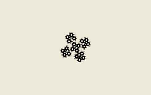 O=S12(c3ccc(N4c5ccccc5[Si](c5ccccc5)(c5ccccc5)c5ccccc54)cc3-c3cc(N4c5ccccc5[Si](c5ccccc5)(c5ccccc5)c5ccccc54)ccc31)c1ccc(N3c4ccccc4[Si](c4ccccc4)(c4ccccc4)c4ccccc43)cc1-c1cc(N3c4ccccc4[Si](c4ccccc4)(c4ccccc4)c4ccccc43)ccc12